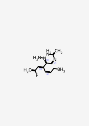 BC\C=C/C(=C\C(=C)F)C(/C=N\C(=C)N)=N\N